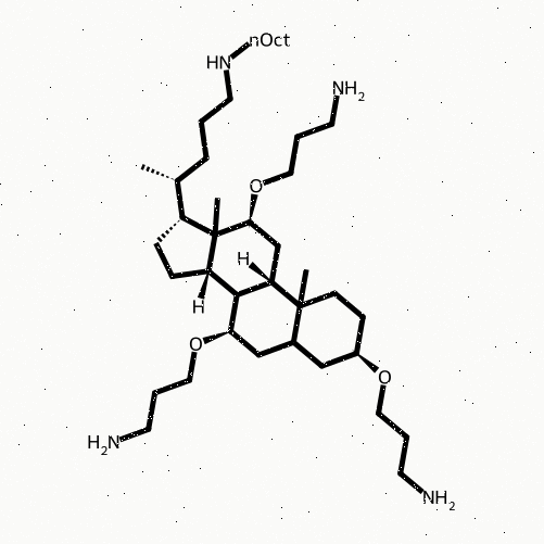 CCCCCCCCNCCC[C@@H](C)[C@H]1CC[C@H]2C3[C@H](OCCCN)CC4C[C@H](OCCCN)CCC4(C)[C@H]3C[C@H](OCCCN)C12C